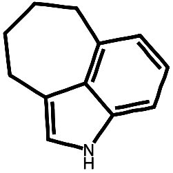 c1cc2c3c(c[nH]c3c1)CCCC2